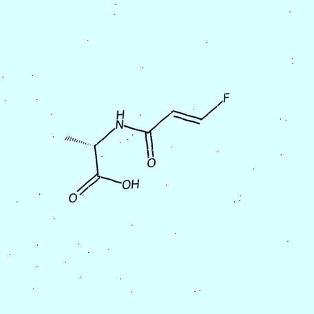 C[C@H](NC(=O)C=CF)C(=O)O